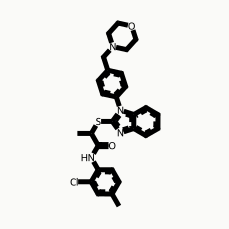 Cc1ccc(NC(=O)C(C)Sc2nc3ccccc3n2-c2ccc(CN3CCOCC3)cc2)c(Cl)c1